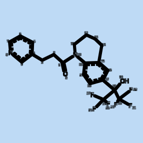 O=C(CCc1cccnc1)N1CCCCc2cc(C(O)(C(F)(F)F)C(F)(F)F)ccc21